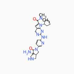 CN(C)C(=O)c1cc2cnc(Nc3ccc(N4CC5CNC[C@@]5(N)C4=O)cn3)nc2n1C1CCCC1